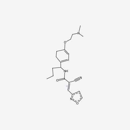 CCCC(NC(=O)/C(C#N)=C/c1ccon1)C1=CC=C(OCCN(C)C)CC1